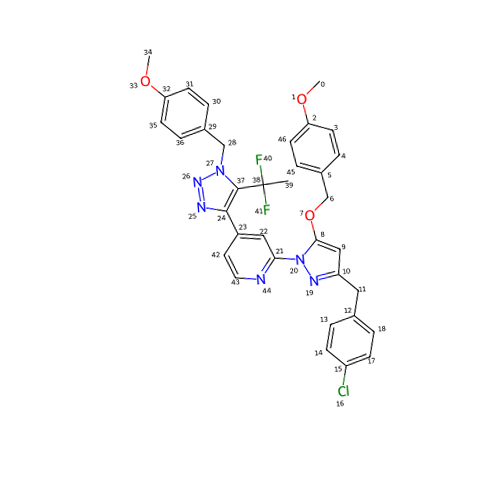 COc1ccc(COc2cc(Cc3ccc(Cl)cc3)nn2-c2cc(-c3nnn(Cc4ccc(OC)cc4)c3C(C)(F)F)ccn2)cc1